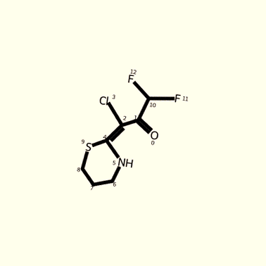 O=C(C(Cl)=C1NCCCS1)C(F)F